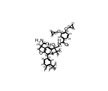 C[C@]1(C(N)=O)COc2c1cc(C(O)(CNC(=O)c1ccc(OC3CC3)c(OC3CC3)c1)C(F)(F)F)nc2-c1ccc(F)c(C(F)(F)F)c1